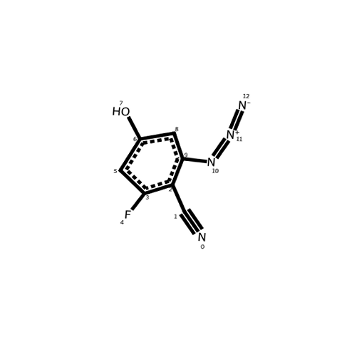 N#Cc1c(F)cc(O)cc1N=[N+]=[N-]